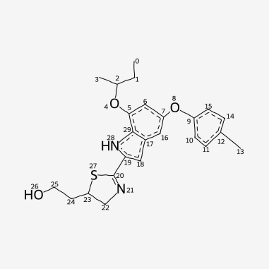 CCC(C)Oc1cc(Oc2ccc(C)cc2)cc2cc(C3=NCC(CCO)S3)[nH]c12